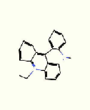 CC[n+]1c2ccccc2c(-c2ccccc2N(C)C)c2ccccc21